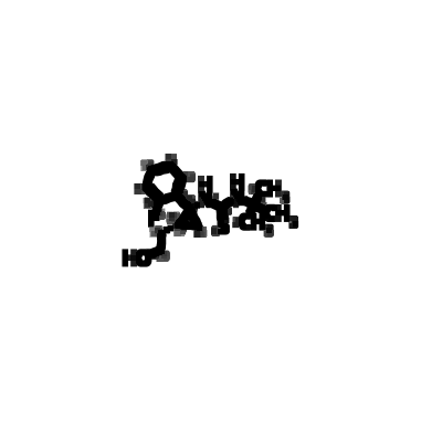 CC(C)(C)NC(=S)N[C@]1(c2ccccc2F)C[C@@H]1CCO